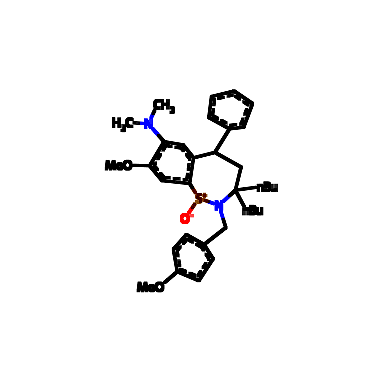 CCCCC1(CCCC)CC(c2ccccc2)c2cc(N(C)C)c(OC)cc2[S+]([O-])N1Cc1ccc(OC)cc1